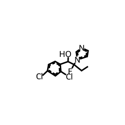 CCC(F)(C(O)c1ccc(Cl)cc1Cl)n1ccnc1